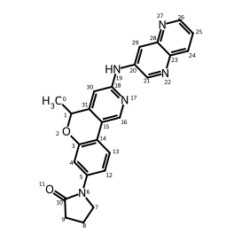 CC1Oc2cc(N3CCCC3=O)ccc2-c2cnc(Nc3cnc4cccnc4c3)cc21